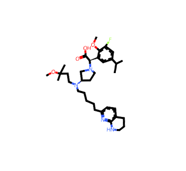 COc1c(F)cc(C(C)C)cc1[C@H](C(=O)O)N1CC[C@@H](N(CCCCCc2ccc3c(n2)NCCC3)CCC(C)(C)OC)C1